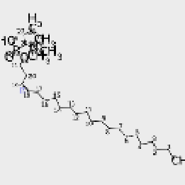 CCCCCCCCCCCCCCCCCC/C=C\CCOP(=O)(O)C(CC)[N+](C)(C)C